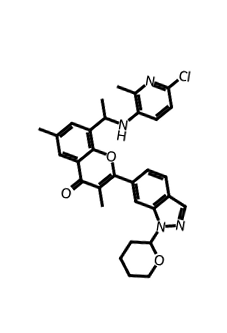 Cc1cc(C(C)Nc2ccc(Cl)nc2C)c2oc(-c3ccc4cnn(C5CCCCO5)c4c3)c(C)c(=O)c2c1